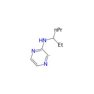 CCCC(CC)Nc1[c]nccn1